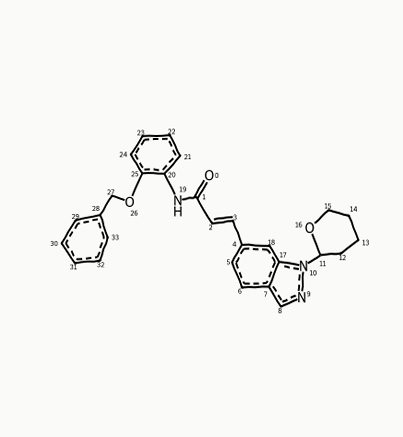 O=C(/C=C/c1ccc2cnn(C3CCCCO3)c2c1)Nc1ccccc1OCc1ccccc1